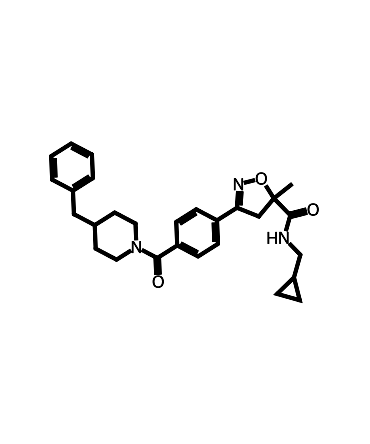 CC1(C(=O)NCC2CC2)CC(c2ccc(C(=O)N3CCC(Cc4ccccc4)CC3)cc2)=NO1